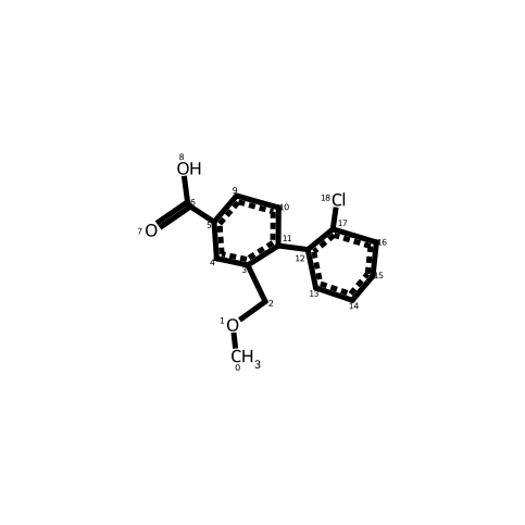 COCc1cc(C(=O)O)ccc1-c1ccccc1Cl